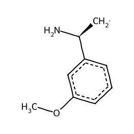 [CH2][C@H](N)c1cccc(OC)c1